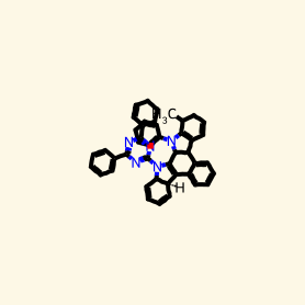 CC1CC=CC2=C1N(C1=CCCC=C1)C1C3=C(c4ccccc4C21)[C@H]1C=CC=CC1N3c1nc(-c2ccccc2)nc(C2C=CCCC2)n1